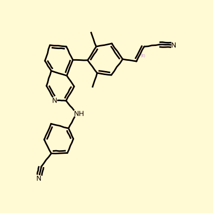 Cc1cc(/C=C/C#N)cc(C)c1-c1cccc2cnc(Nc3ccc(C#N)cc3)cc12